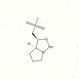 CS(=O)(=O)C[C@H]1OPN2CCC[C@@H]12